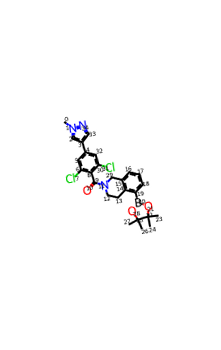 Cn1cc(-c2cc(Cl)c(C(=O)N3CCc4c(cccc4B4OC(C)(C)C(C)(C)O4)C3)c(Cl)c2)cn1